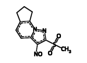 CS(=O)(=O)c1nn2c3c(ccc2c1N=O)CCC3